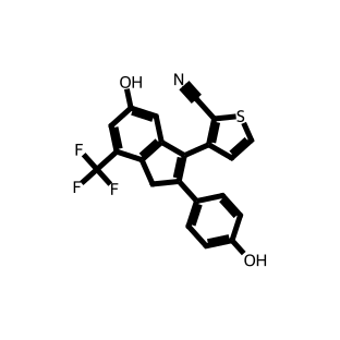 N#Cc1sccc1C1=C(c2ccc(O)cc2)Cc2c1cc(O)cc2C(F)(F)F